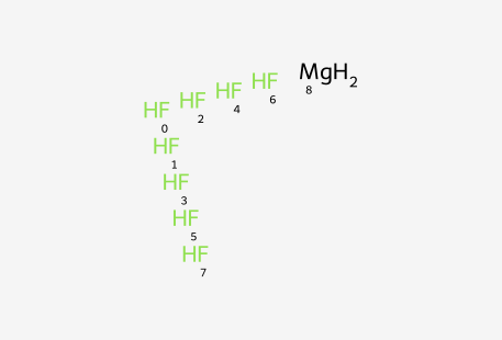 F.F.F.F.F.F.F.F.[MgH2]